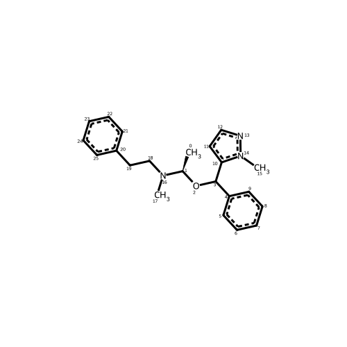 C[C@@H](OC(c1ccccc1)c1ccnn1C)N(C)CCc1ccccc1